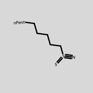 CCCCCCCCCCS(#N)=S